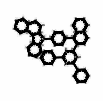 c1ccc(-c2nc(-c3ccccc3)nc(-c3ccc4ccccc4c3-c3ccc(-n4c5ccccc5c5c6ccccc6ccc54)cc3)n2)cc1